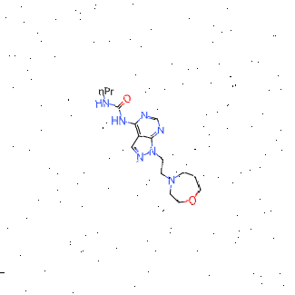 CCCNC(=O)Nc1ncnc2c1cnn2CCN1CCCOCC1